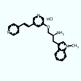 Cl.Cn1cc(C[C@H](N)COc2cncc(C=Cc3ccncc3)c2)c2ccccc21